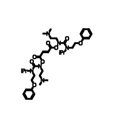 CC(C)N(CCOc1ccccc1)C(=O)N(CCN(C)C)OC(=O)/C=C/C(=O)ON(CCN(C)C)C(=O)N(CCOc1ccccc1)C(C)C